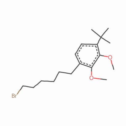 COc1c(CCCCCCBr)ccc(C(C)(C)C)c1OC